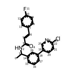 CC(NC(=O)C=Cc1ccc(F)cc1)c1cccc(-c2ccc(Cl)nc2)c1